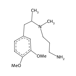 COc1ccc(CC(C)N(C)CCCN)cc1OC